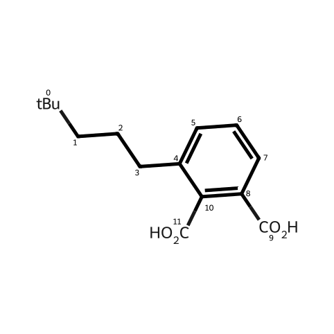 CC(C)(C)CCCc1cccc(C(=O)O)c1C(=O)O